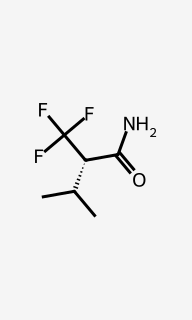 CC(C)[C@@H](C(N)=O)C(F)(F)F